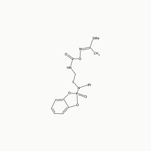 CSC(C)=NOC(=O)NCSN(C(C)C)P1(=O)Oc2ccccc2O1